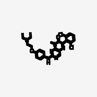 CCN(CC)CCOc1ccc(Nc2ncc3nc(-c4c(Cl)cccc4Cl)c(=O)n(C)c3n2)cc1